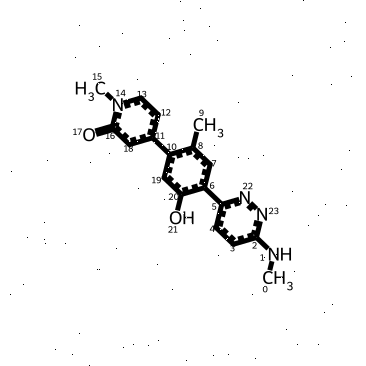 CNc1ccc(-c2cc(C)c(-c3ccn(C)c(=O)c3)cc2O)nn1